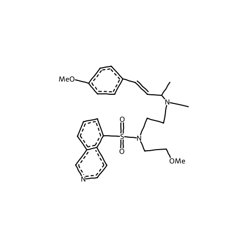 COCCN(CCN(C)C(C)C=Cc1ccc(OC)cc1)S(=O)(=O)c1cccc2cnccc12